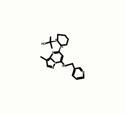 Cc1cnn2c(NCc3cccnc3)cc([C@@H]3CCCC[C@@H]3C(C)(C)O)nc12